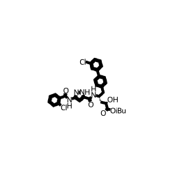 CC(C)COC(=O)[C@H](O)C[C@@H](Cc1ccc(-c2cccc(Cl)c2)cc1)NC(=O)c1cc(NC(=O)c2ccccc2Cl)n[nH]1